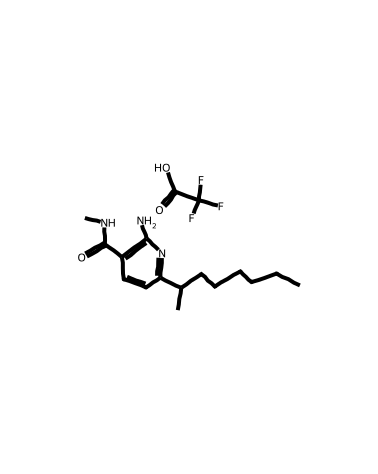 CCCCCCC(C)c1ccc(C(=O)NC)c(N)n1.O=C(O)C(F)(F)F